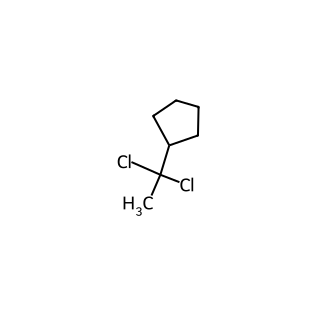 CC(Cl)(Cl)C1CCCC1